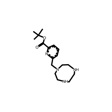 CC(C)(C)OC(=O)c1cccc(CN2CCNCCNCC2)n1